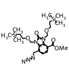 COC(=O)c1ccc(CN=[N+]=[N-])c2c1n(COCC[Si](C)(C)C)c(=O)n2COCC[Si](C)(C)C